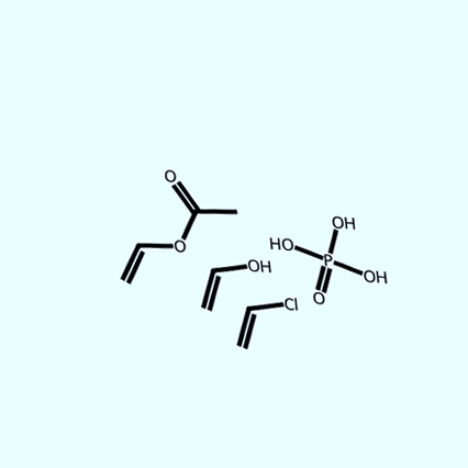 C=CCl.C=CO.C=COC(C)=O.O=P(O)(O)O